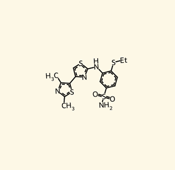 CCSc1ccc(S(N)(=O)=O)cc1Nc1nc(-c2sc(C)nc2C)cs1